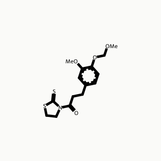 COCOc1ccc(CCC(=O)N2CCSC2=S)cc1OC